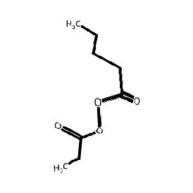 CCCCC(=O)OOC(=O)CC